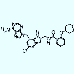 Nc1ncnc2c1ncn2Cc1cc(Cl)cc2cc(CNC(=O)c3ccccc3OC3CCOCC3)[nH]c12